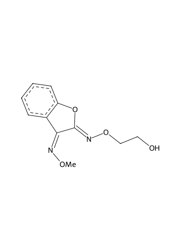 CO/N=C1\C(=N\OCCO)Oc2ccccc21